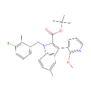 COc1ncccc1-c1c(C(=O)OC(C)(C)C)n(Cc2cccc(F)c2C)c2ccc(C)cc12